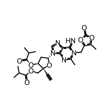 C#C[C@]1(COC(=O)C(C)C)O[C@@H](n2cnc3c(=N)n(Cc4oc(=O)oc4C)c(C)nc32)C[C@@H]1OC(=O)C(C)C